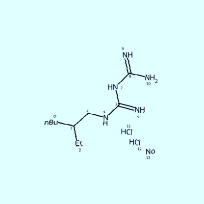 CCCCC(CC)CNC(=N)NC(=N)N.Cl.Cl.[No]